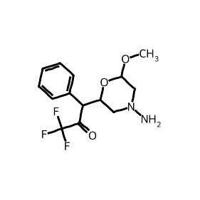 COC1CN(N)CC(C(C(=O)C(F)(F)F)c2ccccc2)O1